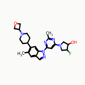 Cc1nc(N2CC(O)C(F)C2)cc(-n2ncc3cc(C)c(C4CCN(C5COC5)CC4)cc32)n1